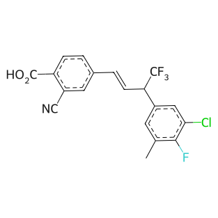 Cc1cc(C(/C=C/c2ccc(C(=O)O)c(C#N)c2)C(F)(F)F)cc(Cl)c1F